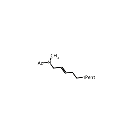 CCCCCCC/C=C/CN(C)C(C)=O